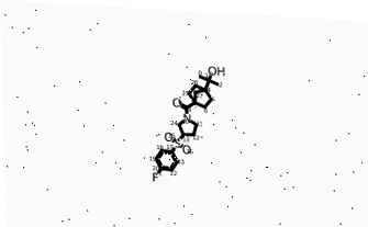 CC(C)(O)C12CCC(C(=O)N3CCC(S(=O)(=O)c4ccc(F)cc4)C3)(CC1)C2